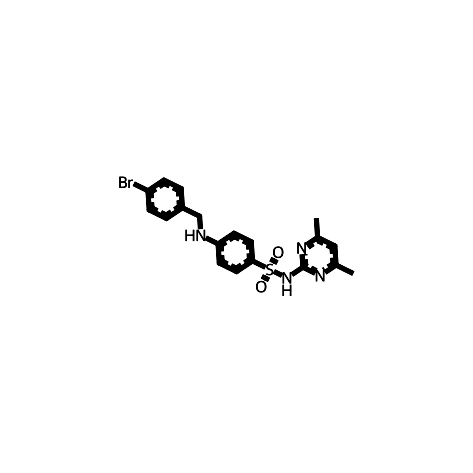 Cc1cc(C)nc(NS(=O)(=O)c2ccc(NCc3ccc(Br)cc3)cc2)n1